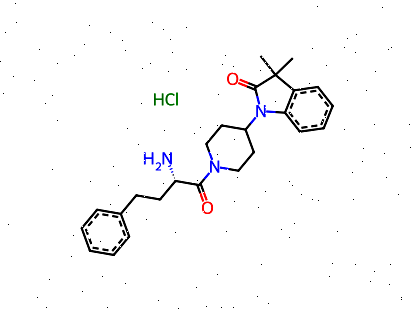 CC1(C)C(=O)N(C2CCN(C(=O)[C@@H](N)CCc3ccccc3)CC2)c2ccccc21.Cl